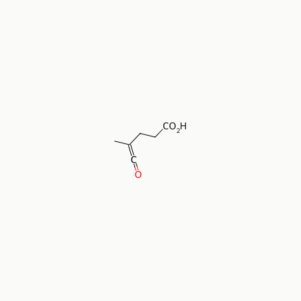 CC(=C=O)CCC(=O)O